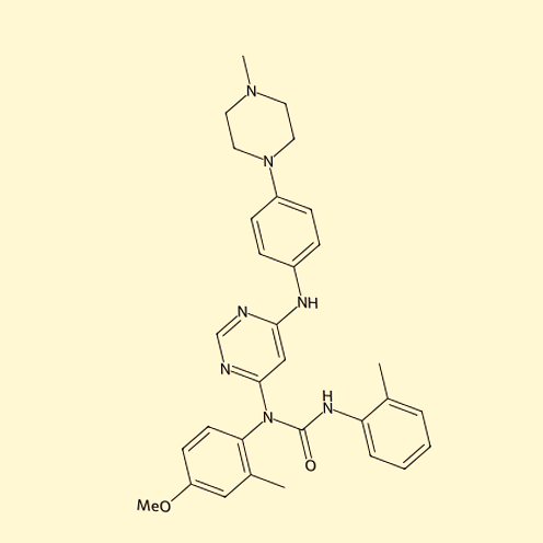 COc1ccc(N(C(=O)Nc2ccccc2C)c2cc(Nc3ccc(N4CCN(C)CC4)cc3)ncn2)c(C)c1